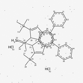 C[Si](C)(C)C1=Cc2c(-c3ccccc3)cccc2[CH]1[Hf]([CH3])([CH3])(=[SiH2])[CH]1C([Si](C)(C)C)=Cc2c(-c3ccccc3)cccc21.Cl.Cl